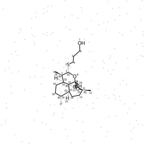 C[C@H]1[C@H](SCCCO)O[C@@H]2O[C@@]3(C)CC[C@H]4[C@H](C)CC[C@@H]1[C@@]24OO3